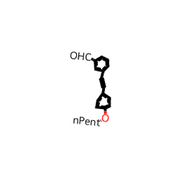 CCCCCOc1ccc(C#Cc2cccc(C=O)c2)cc1